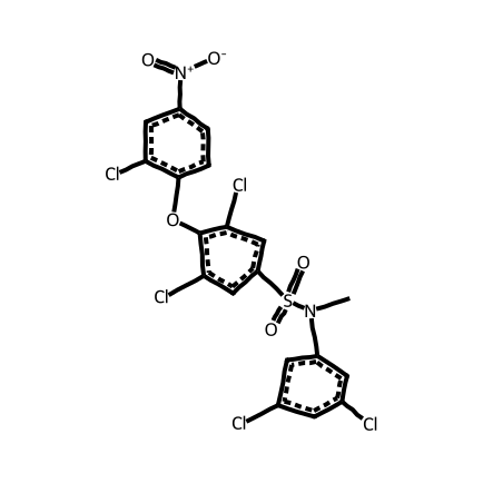 CN(c1cc(Cl)cc(Cl)c1)S(=O)(=O)c1cc(Cl)c(Oc2ccc([N+](=O)[O-])cc2Cl)c(Cl)c1